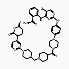 CNC(=O)c1ccccc1Nc1nc(Nc2ccc(N3CCN(C(=O)C4CCN(CC5CCN(c6cc(C7CCC(=O)NC7=O)ccn6)CC5)CC4)CC3)cc2)ncc1Cl